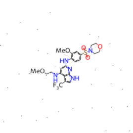 COCCNc1cc(Nc2ccc(S(=O)(=O)N3CCOCC3)cc2OC)nc2[nH]cc(C(F)(F)F)c12